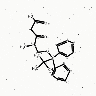 C[C@H](CO[Si](c1ccccc1)(c1ccccc1)C(C)(C)C)C(=O)CC(=O)O